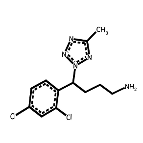 Cc1nnn(C(CCCN)c2ccc(Cl)cc2Cl)n1